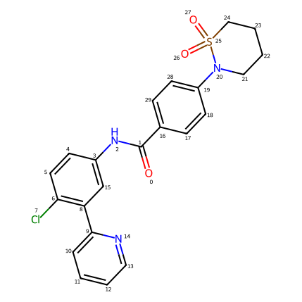 O=C(Nc1ccc(Cl)c(-c2ccccn2)c1)c1ccc(N2CCCCS2(=O)=O)cc1